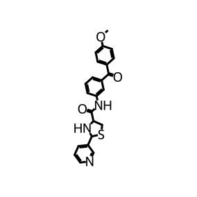 COc1ccc(C(=O)c2cccc(NC(=O)C3CSC(c4cccnc4)N3)c2)cc1